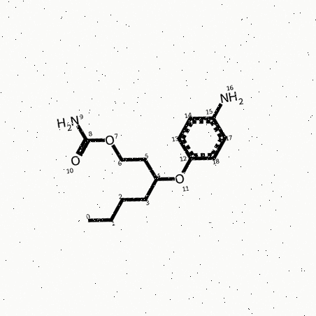 CCCCC(CCOC(N)=O)Oc1ccc(N)cc1